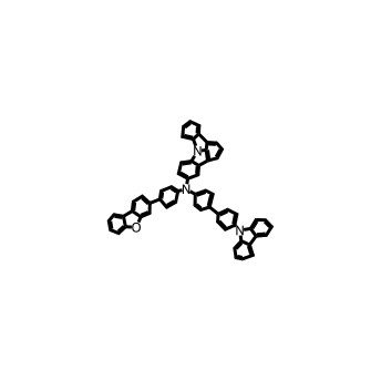 c1ccc2c(c1)oc1cc(-c3ccc(N(c4ccc(-c5ccc(-n6c7ccccc7c7ccccc76)cc5)cc4)c4ccc5c(c4)c4cccc6c7ccccc7n5c64)cc3)ccc12